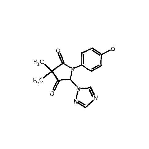 CC1(C)C(=O)C(n2cncn2)N(c2ccc(Cl)cc2)C1=O